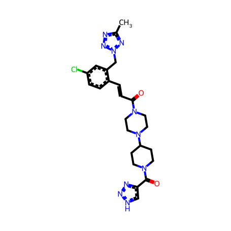 Cc1nnn(Cc2cc(Cl)ccc2C=CC(=O)N2CCN(C3CCN(C(=O)c4c[nH]nn4)CC3)CC2)n1